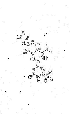 CC(C)[C@@H](NC(=O)c1cc(=O)[nH]c(S(C)(=O)=O)n1)c1ccc(OC(F)(F)F)c(F)c1